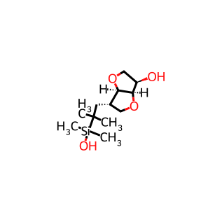 CC(C)(C[C@H]1CO[C@H]2[C@@H]1OC[C@H]2O)[Si](C)(C)O